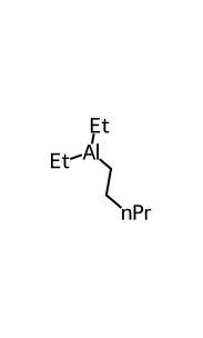 CCCC[CH2][Al]([CH2]C)[CH2]C